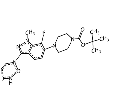 Cn1nc(-n2cco[nH]o2)c2ccc(N3CCN(C(=O)OC(C)(C)C)CC3)c(F)c21